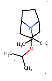 CC(C)OC1CC2CCC(C1)N2C(C)C